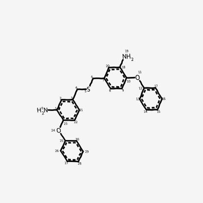 Nc1cc(CSCc2ccc(Oc3ccccc3)c(N)c2)ccc1Oc1ccccc1